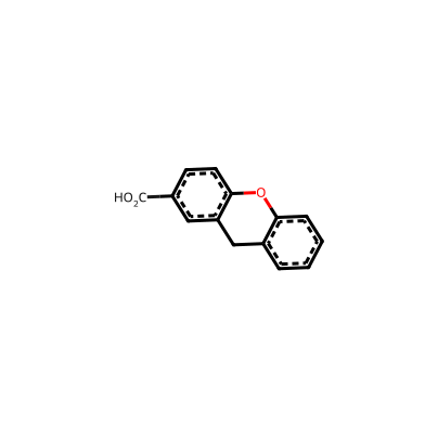 O=C(O)c1ccc2c(c1)Cc1ccccc1O2